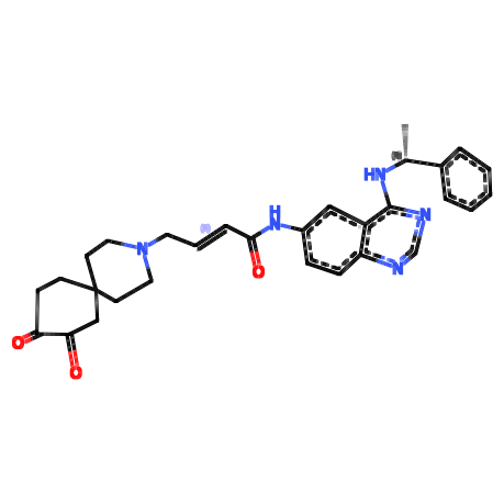 C[C@@H](Nc1ncnc2ccc(NC(=O)/C=C/CN3CCC4(CCC(=O)C(=O)C4)CC3)cc12)c1ccccc1